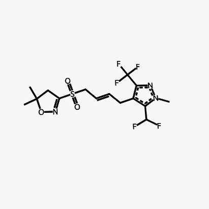 Cn1nc(C(F)(F)F)c(CC=CCS(=O)(=O)C2=NOC(C)(C)C2)c1C(F)F